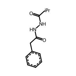 CC(C)C(=O)NNC(=O)Cc1ccccc1